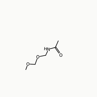 COCOCNC(C)=O